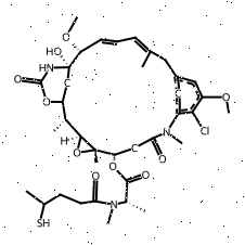 COc1cc2cc(c1Cl)N(C)C(=O)C[C@H](OC(=O)[C@H](C)N(C)C(=O)CCC(C)S)[C@]1(C)O[C@H]1[C@H](C)C1C[C@@](O)(NC(=O)O1)[C@H](OC)/C=C/C=C(\C)C2